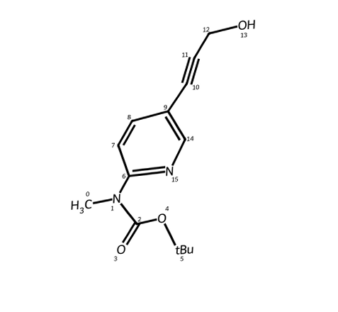 CN(C(=O)OC(C)(C)C)c1ccc(C#CCO)cn1